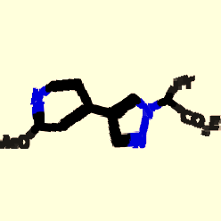 CCOC(=O)C(C(C)C)n1cc(-c2ccnc(OC)c2)cn1